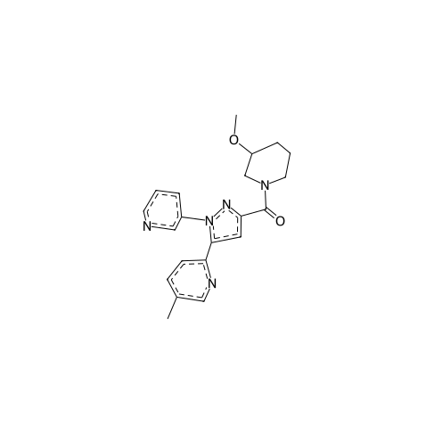 COC1CCCN(C(=O)c2cc(-c3ccc(C)cn3)n(-c3cccnc3)n2)C1